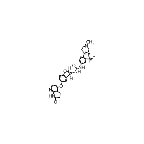 CN1CCN(c2ccc(NC(=O)N[C@@H]3[C@H]4Oc5ccc(Oc6ccnc7c6CCC(=O)N7)cc5[C@@H]34)cc2C(F)(F)F)CC1